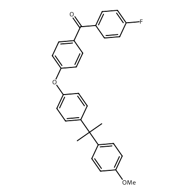 COc1ccc(C(C)(C)c2ccc(Oc3ccc(C(=O)c4ccc(F)cc4)cc3)cc2)cc1